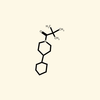 CC(C)(C)C(=O)N1CCC(C2CCCCC2)CC1